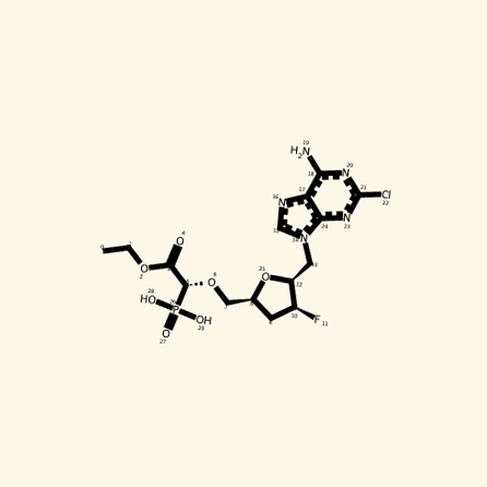 CCOC(=O)[C@H](OC[C@@H]1C[C@H](F)[C@H](Cn2cnc3c(N)nc(Cl)nc32)O1)P(=O)(O)O